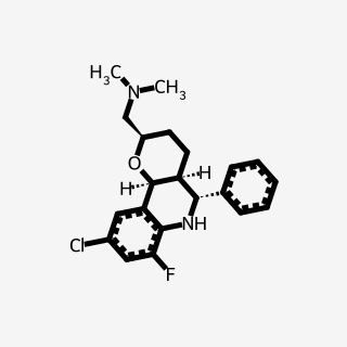 CN(C)C[C@H]1CC[C@@H]2[C@H](O1)c1cc(Cl)cc(F)c1N[C@H]2c1ccccc1